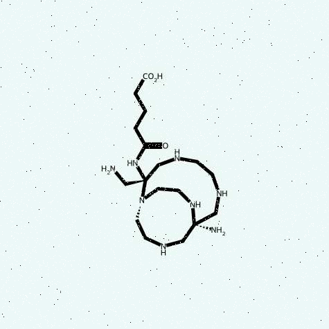 NC[C@@]1(NC(=O)CCCC(=O)O)CNCCNC[C@@]2(N)CNCC[N@@]1CCN2